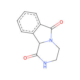 O=C1NCCN2C(=O)c3ccccc3C12